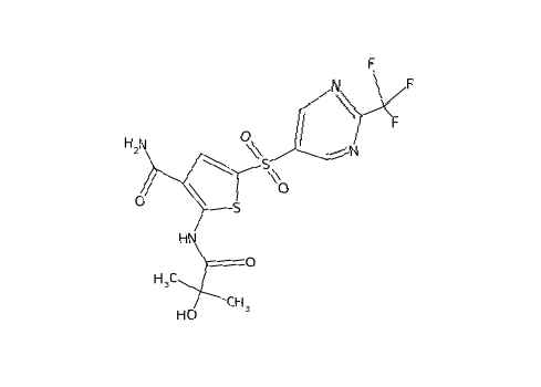 CC(C)(O)C(=O)Nc1sc(S(=O)(=O)c2cnc(C(F)(F)F)nc2)cc1C(N)=O